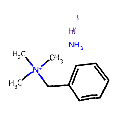 C[N+](C)(C)Cc1ccccc1.I.N.[I-]